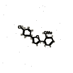 COc1ccccc1-c1ccc(-c2ccc(Cl)cc2)o1